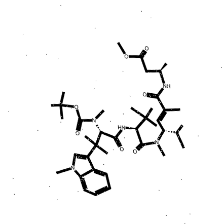 COC(=O)C[C@@H](C)NC(=O)/C(C)=C/[C@H](C(C)C)N(C)C(=O)[C@@H](NC(=O)[C@@H](N(C)C(=O)OC(C)(C)C)C(C)(C)c1cn(C)c2ccccc12)C(C)(C)C